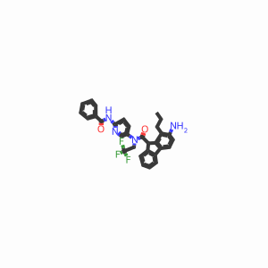 CCCc1c(N)ccc2c1C(C(=O)N(CC(F)(F)F)c1ccc(NC(=O)c3ccccc3)nc1)c1ccccc1-2